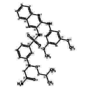 COc1cc(Nc2nc3ccccc3nc2NS(=O)(=O)c2cccc(N(CC(N)=O)OCC(C)C)c2)cc(OC)c1